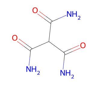 NC(=O)C(C(N)=O)C(N)=O